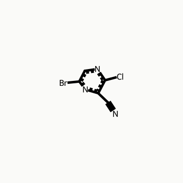 N#Cc1nc(Br)cnc1Cl